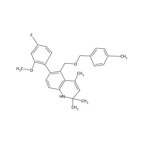 COc1cc(F)ccc1-c1ccc2c(c1COCc1ccc(C)cc1)C(C)=CC(C)(C)N2